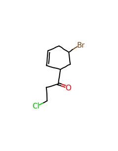 O=C(CCCl)C1C=CCC(Br)C1